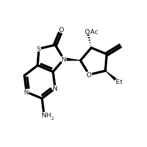 C=C1[C@@H](OC(C)=O)[C@H](n2c(=O)sc3cnc(N)nc32)O[C@@H]1CC